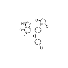 Cc1cc(Oc2ccc(Cl)cc2)c(-c2cn(C)c(=O)c3[nH]ccc23)cc1N1C(=O)CCC1=O